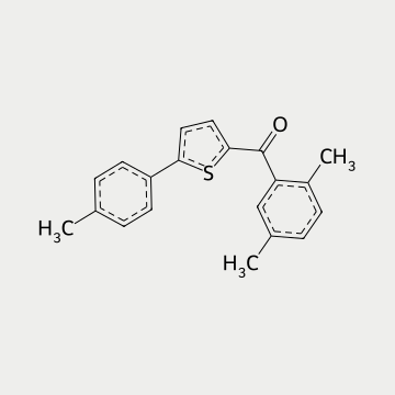 Cc1ccc(-c2ccc(C(=O)c3cc(C)ccc3C)s2)cc1